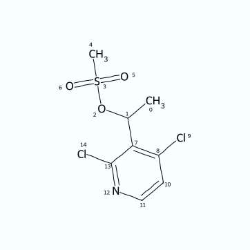 CC(OS(C)(=O)=O)c1c(Cl)ccnc1Cl